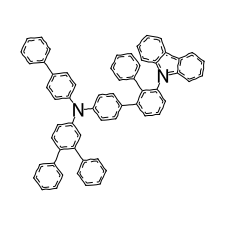 c1ccc(-c2ccc(N(c3ccc(-c4cccc(-n5c6ccccc6c6ccccc65)c4-c4ccccc4)cc3)c3ccc(-c4ccccc4)c(-c4ccccc4)c3)cc2)cc1